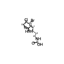 O=C(O)NCCc1cc2c(Br)c(Cl)cnc2[nH]1